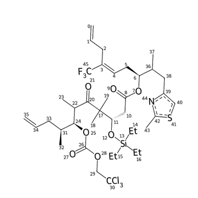 C=CC/C(=C\C[C@H](OC(=O)C[C@H](O[Si](CC)(CC)CC)C(C)(C)C(=O)C(C)[C@@H](OC(=O)OCC(Cl)(Cl)Cl)[C@@H](C)CC=C)C(C)Cc1csc(C)n1)C(F)(F)F